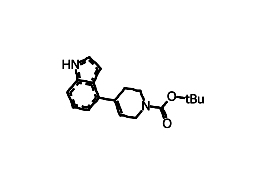 CC(C)(C)OC(=O)N1CC=C(c2cccc3[nH]ccc23)CC1